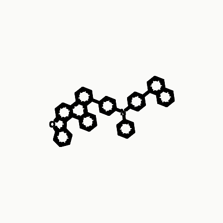 c1ccc(N(c2ccc(-c3cccc4ccccc34)cc2)c2ccc(-c3cccc4c5ccc6oc7ccccc7c6c5c5ccccc5c34)cc2)cc1